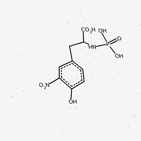 O=C(O)C(Cc1ccc(O)c([N+](=O)[O-])c1)NP(=O)(O)O